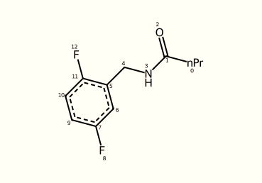 CCCC(=O)NCc1cc(F)ccc1F